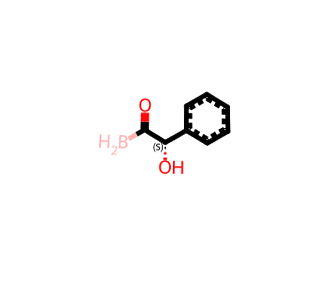 BC(=O)[C@@H](O)c1ccccc1